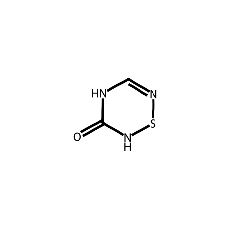 O=C1NC=NSN1